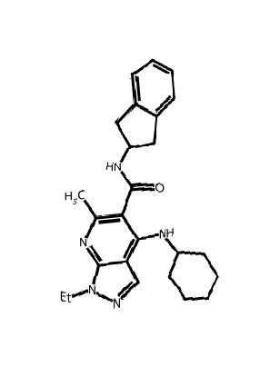 CCn1ncc2c(NC3CCCCC3)c(C(=O)NC3Cc4ccccc4C3)c(C)nc21